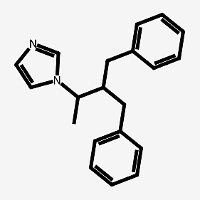 CC(C(Cc1ccccc1)Cc1ccccc1)n1ccnc1